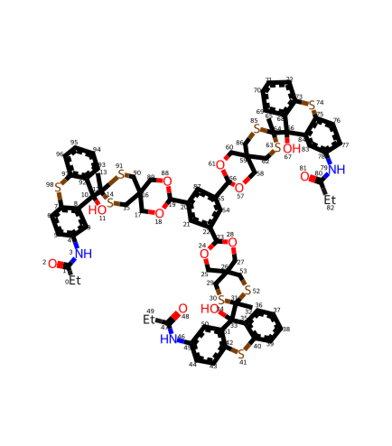 CCC(=O)Nc1ccc2c(c1)C(O)(C1(C)SCC3(COC(c4cc(C5OCC6(CO5)CSC(C)(C5(O)c7ccccc7Sc7ccc(NC(=O)CC)cc75)SC6)cc(C5OCC6(CO5)CSC(C)(C5(O)c7ccccc7Sc7ccc(NC(=O)CC)cc75)SC6)c4)OC3)CS1)c1ccccc1S2